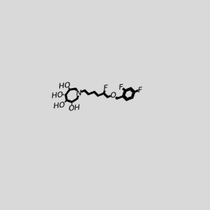 O[C@H]1[C@H](O)[C@@H](O)CN(CCCCC(F)COCc2ccc(F)cc2F)C[C@@H]1O